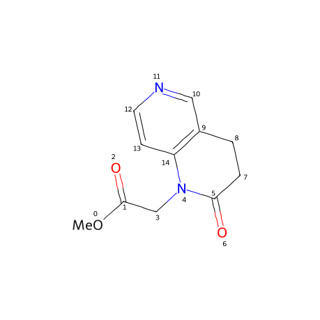 COC(=O)CN1C(=O)CCc2cnccc21